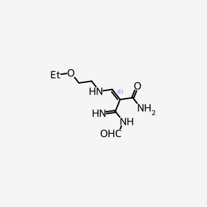 CCOCCN/C=C(\C(=N)NC=O)C(N)=O